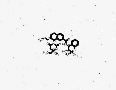 CC[C@]1(C)CC(=O)N([C@H]2c3cc(C(=O)N[C@@H]4c5ccccc5OC(C)(C)[C@H]4O)ccc3CC[C@@H]2COC)C(=N)N1